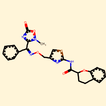 Cn1oc(=O)nc1C(=NOCc1csc(NC(=O)C2CCc3ccccc3O2)n1)c1ccccc1